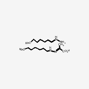 COCCCCCCNN.COCCCCCCNN=C(C)C(=O)O